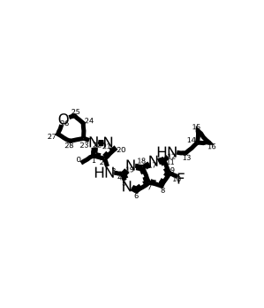 Cc1c(Nc2ncc3cc(F)c(NCC4CC4)nc3n2)cnn1C1CCOCC1